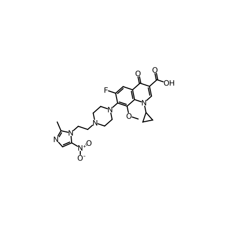 COc1c(N2CCN(CCn3c([N+](=O)[O-])cnc3C)CC2)c(F)cc2c(=O)c(C(=O)O)cn(C3CC3)c12